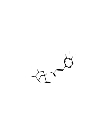 O=C(/C=C/c1ccc(O)c(O)c1)OC12CC(O)C(O)C(C1)OC2=O